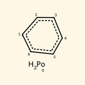 [PoH2].[c]1ccccc1